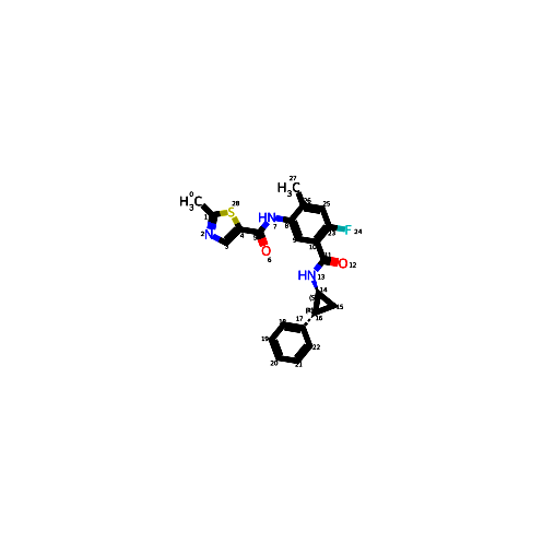 Cc1ncc(C(=O)Nc2cc(C(=O)N[C@H]3C[C@@H]3c3ccccc3)c(F)cc2C)s1